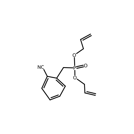 C=CCOP(=O)(Cc1ccccc1C#N)OCC=C